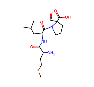 CSCCC(N)C(=O)NC(CC(C)C)C(=O)N1CCCC1(C=O)C(=O)O